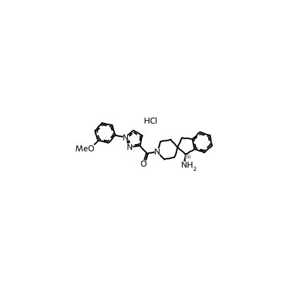 COc1cccc(-n2ccc(C(=O)N3CCC4(CC3)Cc3ccccc3[C@H]4N)n2)c1.Cl